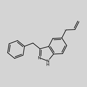 C=C[CH]c1ccc2[nH]nc(Cc3ccccc3)c2c1